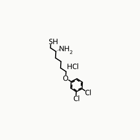 Cl.N[C@@H](CS)CCCCOc1ccc(Cl)c(Cl)c1